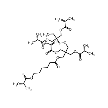 C=C(C)C(=O)OCCCCCC(=O)OCC(COCC(CC)(COC(=O)C(=C)C)COC(=O)C(=C)C)(COC(=O)C(=C)C)COC(=O)C(=C)C